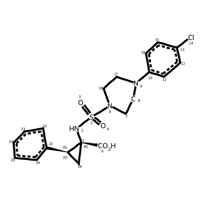 O=C(O)[C@@]1(NS(=O)(=O)N2CCN(c3ccc(Cl)cc3)CC2)C[C@H]1c1ccccc1